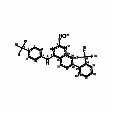 Cc1nc(Nc2ccc(C(C)(C)C)cc2)c2ccc(-c3ncccc3C(F)(F)F)cc2n1.Cl